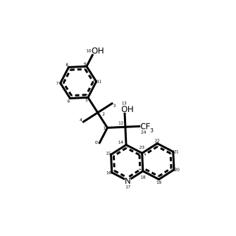 CC(C(C)(C)c1cccc(O)c1)C(O)(c1ccnc2ccccc12)C(F)(F)F